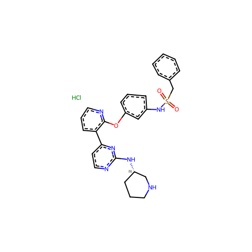 Cl.O=S(=O)(Cc1ccccc1)Nc1cccc(Oc2ncccc2-c2ccnc(N[C@H]3CCCNC3)n2)c1